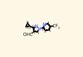 O=Cc1cn(-c2ccc(C(F)(F)F)cn2)nc1C1CC1